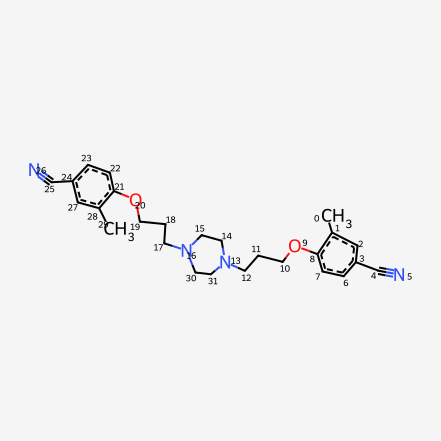 Cc1cc(C#N)ccc1OCCCN1CCN(CCCOc2ccc(C#N)cc2C)CC1